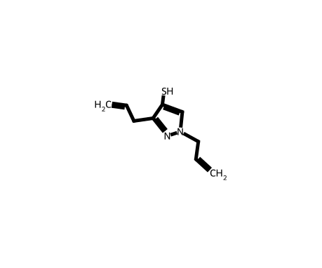 C=CCc1nn(CC=C)cc1S